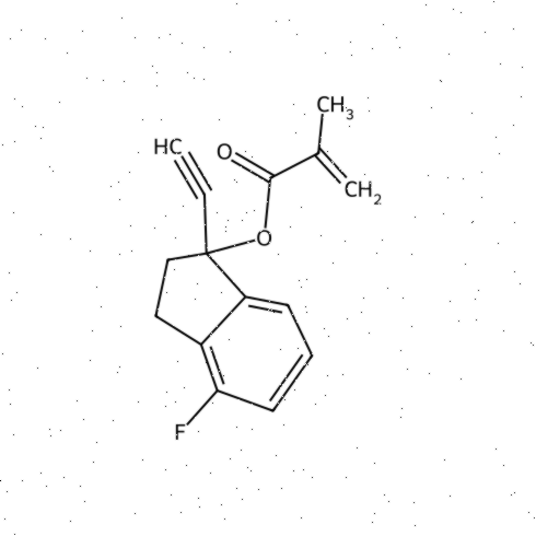 C#CC1(OC(=O)C(=C)C)CCc2c(F)cccc21